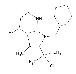 CC1CCNC2C1N(C)C(C(C)(C)C)N2CC1CCCCC1